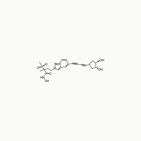 CC(CCn1cc2cc(C#CC#CC3C[C@@H](O)[C@@H](O)C3)ccc2n1)(C(=O)NO)S(C)(=O)=O